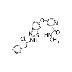 CNC(=O)c1cc(Oc2ccc3nc(NC(Cl)Cc4ccccc4)sc3c2)ccn1